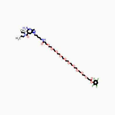 CCCN(CCC)C(=O)C1=Cc2c(cnn2CCCCCNC(=O)CCOCCOCCOCCOCCOCCOCCOCCOCCOCCOCCC(=O)Oc2c(F)c(F)cc(F)c2F)N=C(N)C1